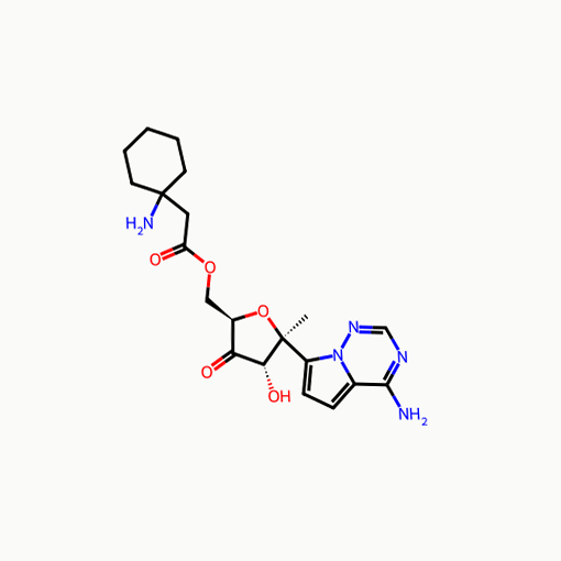 C[C@@]1(c2ccc3c(N)ncnn23)O[C@H](COC(=O)CC2(N)CCCCC2)C(=O)[C@H]1O